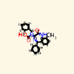 Cc1cccc2c1NC(=O)C(N(Cc1ccccc1)C(=O)O)N=C2c1ccccc1